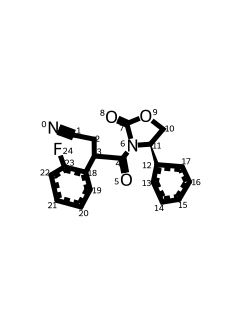 N#CCC(C(=O)N1C(=O)OC[C@H]1c1ccccc1)c1ccccc1F